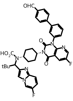 CC(C)(C)C(c1cn2cc(F)ccc2n1)N(C(=O)O)[C@H]1CC[C@@H](n2c(=O)c3cc(F)cnc3n(-c3cccc(-c4ccc(C=O)cc4)c3)c2=O)CC1